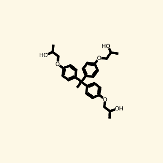 CC(O)COc1ccc(C(C)(c2ccc(OCC(C)O)cc2)c2ccc(OCC(C)O)cc2)cc1